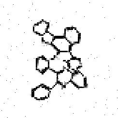 c1ccc(-c2nc3ccccc3nc2-c2ccccc2-n2c3ccccc3c3c4ccccc4c4c5ccccc5sc4c32)cc1